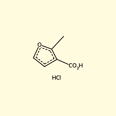 Cc1occc1C(=O)O.Cl